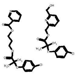 CC(C)(Oc1ccc(Cl)cc1)C(=O)OCCCOC(=O)c1cccnc1.CC(C)(Oc1ccc(Cl)cc1)C(=O)OCc1cccc(CO)n1